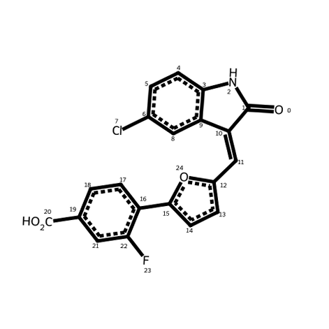 O=C1Nc2ccc(Cl)cc2C1=Cc1ccc(-c2ccc(C(=O)O)cc2F)o1